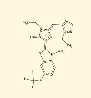 CCn1c(=O)/c(=C2\Sc3cc(OC(F)(F)F)ccc3N2C)s/c1=C\c1scc[n+]1CP